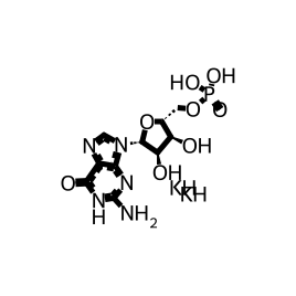 Nc1nc2c(ncn2[C@@H]2O[C@H](COP(=O)(O)O)[C@@H](O)[C@H]2O)c(=O)[nH]1.[KH].[KH]